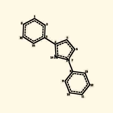 c1ccc(-c2ccn(-c3ccccc3)n2)cc1